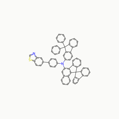 c1ccc(C2(c3ccccc3)c3ccccc3-c3ccc(N(c4ccc(-c5ccc6scnc6c5)cc4)c4cc5ccccc5c5c4-c4ccccc4C54c5ccccc5-c5ccccc54)cc32)cc1